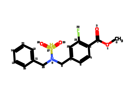 COC(=O)c1ccc(CN(Cc2ccccc2)[SH](=O)=O)cc1F